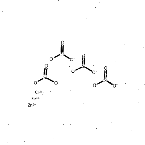 O=[Si]([O-])[O-].O=[Si]([O-])[O-].O=[Si]([O-])[O-].O=[Si]([O-])[O-].[Cr+3].[Fe+3].[Zn+2]